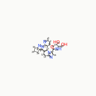 Cc1cccc(-n2nc3c(c2-c2ccc4ncc(C(=O)NC(CO)CO)n4c2)CCC3)n1